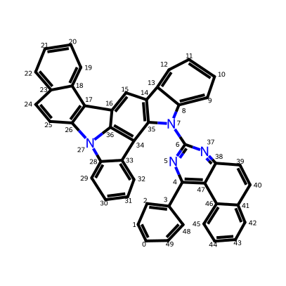 c1ccc(-c2nc(-n3c4ccccc4c4cc5c6c7ccccc7ccc6n6c7ccccc7c(c43)c56)nc3ccc4ccccc4c23)cc1